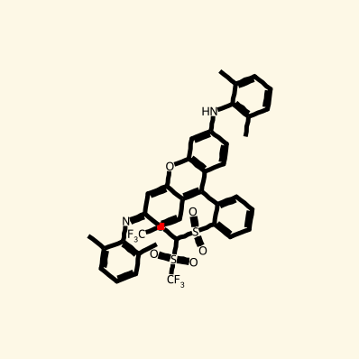 Cc1cccc(C)c1/N=c1\ccc2c(-c3ccccc3S(=O)(=O)C(SC(F)(F)F)S(=O)(=O)C(F)(F)F)c3ccc(Nc4c(C)cccc4C)cc3oc-2c1